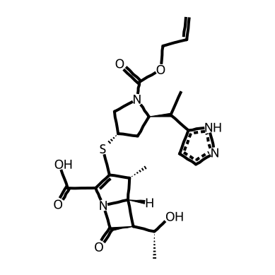 C=CCOC(=O)N1C[C@@H](SC2=C(C(=O)O)N3C(=O)[C@H]([C@@H](C)O)[C@H]3[C@H]2C)C[C@@H]1C(C)c1ccn[nH]1